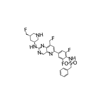 O=S(=O)(Cc1ccccc1)Nc1c(F)cc(-c2cc(CF)c3nc(N[C@@H]4CNC[C@H](CF)C4)ncc3n2)cc1F